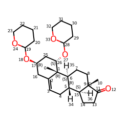 C[C@]12C(=CC[C@@H]3[C@@H]1CC[C@]1(C)C(=O)CC[C@@H]31)C[C@@H](OC1CCCCO1)C[C@@H]2OC1CCCCO1